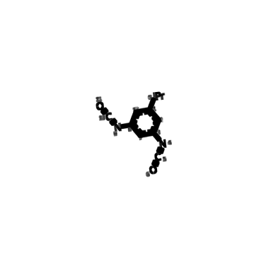 CC(C)c1cc(N=C=O)cc(N=C=O)c1